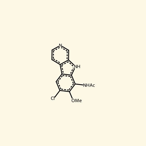 COc1c(Cl)cc2c([nH]c3cnccc32)c1NC(C)=O